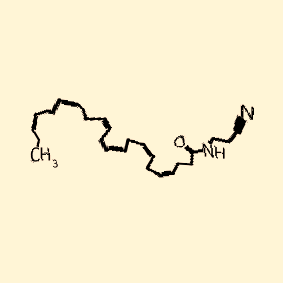 CC/C=C\C/C=C\C/C=C\C/C=C\C/C=C\C/C=C\CCC(=O)NCCC#N